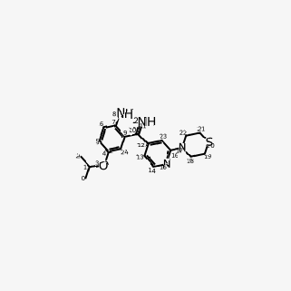 CC(C)Oc1ccc(N)c(C(=N)c2ccnc(N3CCSCC3)c2)c1